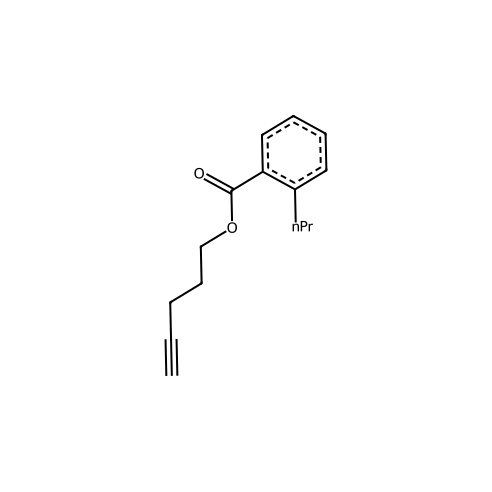 C#CCCCOC(=O)c1ccccc1CCC